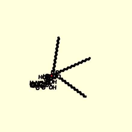 CCCCCCCCCCCCCCCCCCOc1cc(CC(CC(=O)O)(C(=O)O)[C@@]2(O)[C@@H](CO)O[C@@H](N3C=CC(N)(C(=O)c4ccccc4)NC3=O)[C@@H]2OC)cc(OCCCCCCCCCCCCCCCCCC)c1OCCCCCCCCCCCCCCCCCC